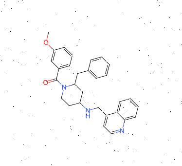 COc1cccc(C(=O)N2CCC(NCc3ccnc4ccccc34)CC2Cc2ccccc2)c1